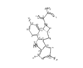 NC(=O)C(=O)N1CC(Cc2c(-c3ccc(F)cc3)[nH]c3c(F)cc(F)cc23)C1